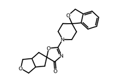 O=C1N=C(N2CCC3(CC2)OCc2ccccc23)OC12CC1COCC1C2